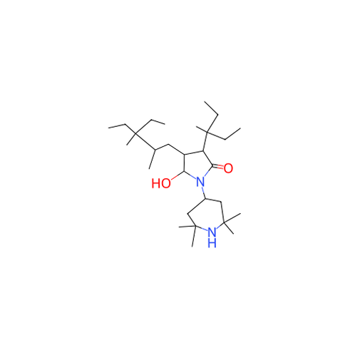 CCC(C)(CC)C(C)CC1C(O)N(C2CC(C)(C)NC(C)(C)C2)C(=O)C1C(C)(CC)CC